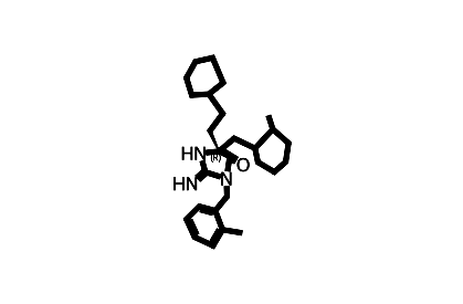 Cc1ccccc1CN1C(=N)N[C@](CCC2CCCCC2)(CC2CCCCC2C)C1=O